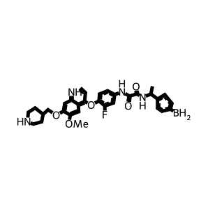 Bc1ccc(C(C)NC(=O)C(=O)Nc2ccc(O/C(C=C)=C3\C=C(OC)C(OCC4CCNCC4)=CC3=N)c(F)c2)cc1